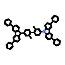 Cc1cc(C2c3ccc(-c4ccccc4)cc3-c3cc(-c4ccccc4)ccc32)ccc1-c1ccc(-n2c3ccc(-c4ccccc4)cc3c3cc(-c4ccccc4)ccc32)cc1C